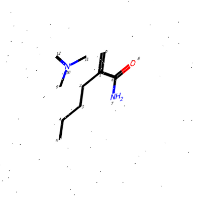 C=C(CCCC)C(N)=O.CN(C)C